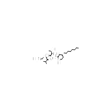 CCCCCCCC[C@H]1CCN[C@@H](C(=O)N[C@H](C(=O)N[C@@H](CCN)C(=O)C(C)C)C(C)O)C1